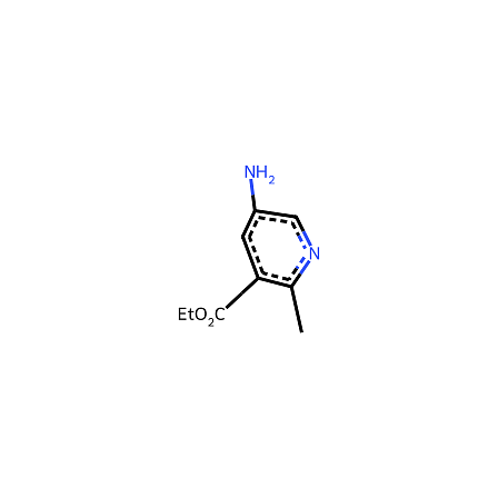 CCOC(=O)c1cc(N)cnc1C